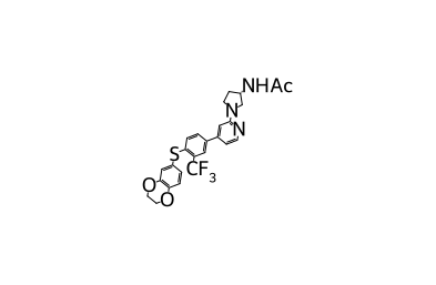 CC(=O)N[C@H]1CCN(c2cc(-c3ccc(Sc4ccc5c(c4)OCCO5)c(C(F)(F)F)c3)ccn2)C1